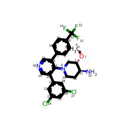 CO[C@H]1CN(c2c(-c3ccc(C(F)(F)F)cc3)cncc2-c2cc(Cl)cc(Cl)c2)CC[C@@H]1N